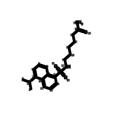 CN(C)c1cccc2c(S(=O)(=O)NCCCCCC(N)=O)cccc12